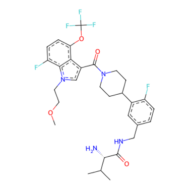 COCCn1cc(C(=O)N2CCC(c3cc(CNC(=O)[C@@H](N)C(C)C)ccc3F)CC2)c2c(OC(F)(F)F)ccc(F)c21